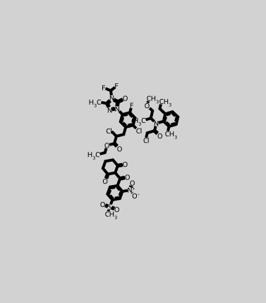 CCOC(=O)C(Cl)Cc1cc(-n2nc(C)n(C(F)F)c2=O)c(F)cc1Cl.CCc1cccc(C)c1N(C(=O)CCl)C(C)COC.CS(=O)(=O)c1ccc(C(=O)C2C(=O)CCCC2=O)c([N+](=O)[O-])c1